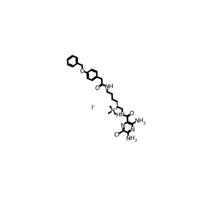 C[N+](C)(C)[C@@H](CCCCNC(=O)Cc1ccc(OCc2ccccc2)cc1)CNC(=O)c1nc(Cl)c(N)nc1N.[I-]